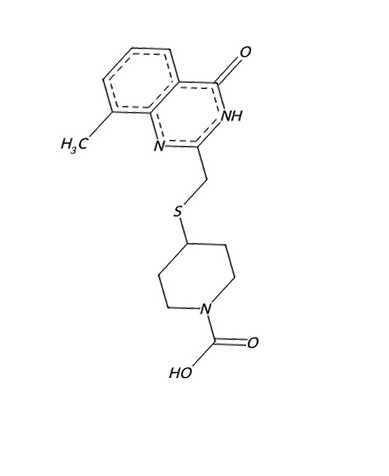 Cc1cccc2c(=O)[nH]c(CSC3CCN(C(=O)O)CC3)nc12